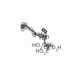 O=C(O)CC[C@H](NC(=O)N[C@@H](CCCCNC(=O)[C@H](Cc1ccc2ccccc2c1)NC(=O)C1CCC(CNC(=O)COCCOCCOCC(=O)ON2C(=O)CCC2=O)CC1)C(=O)O)C(=O)O